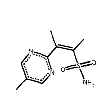 C/C(=C(\C)S(N)(=O)=O)c1ncc(C)cn1